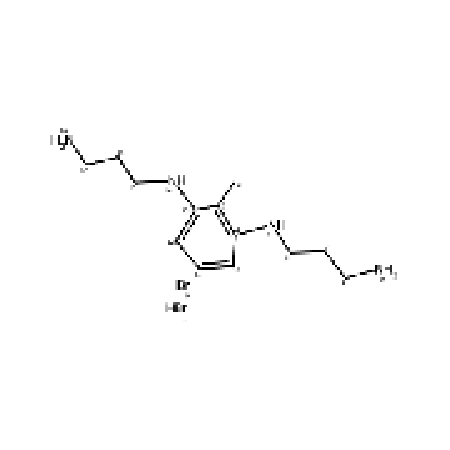 Br.Br.Cc1c(NCCCN)cccc1NCCCN